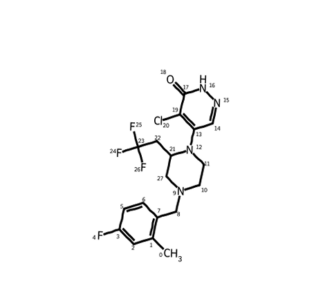 Cc1cc(F)ccc1CN1CCN(c2cn[nH]c(=O)c2Cl)C(CC(F)(F)F)C1